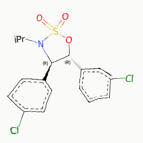 CC(C)N1[C@H](c2ccc(Cl)cc2)[C@@H](c2cccc(Cl)c2)OS1(=O)=O